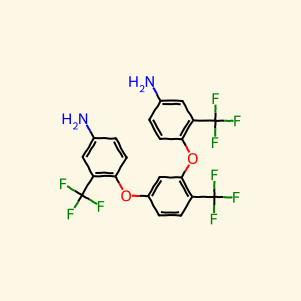 Nc1ccc(Oc2ccc(C(F)(F)F)c(Oc3ccc(N)cc3C(F)(F)F)c2)c(C(F)(F)F)c1